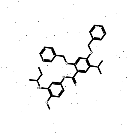 CCC(C)Nc1cc(NC(=O)c2cc(C(C)C)c(OCc3ccccc3)cc2OCc2ccccc2)ccc1OC